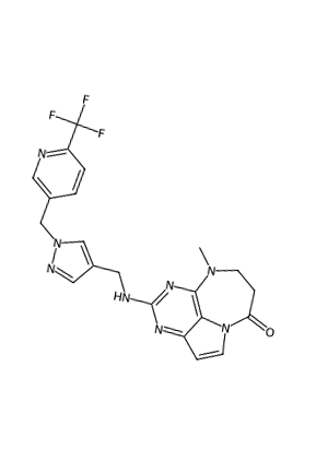 CN1CCC(=O)n2ccc3nc(NCc4cnn(Cc5ccc(C(F)(F)F)nc5)c4)nc1c32